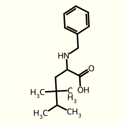 CC(C)C(C)(C)CC(NCc1ccccc1)C(=O)O